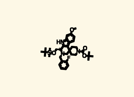 COc1ccc2c3c([nH]c2c1)[C@H](CO[Si](C)(C)C(C)(C)C)N(Cc1ccccc1F)CC31CCN(C(=O)OC(C)(C)C)CC1